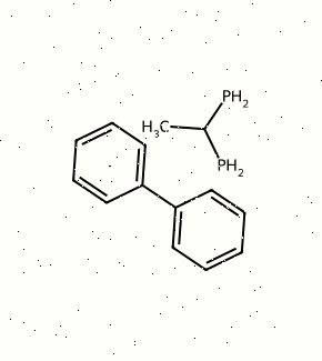 CC(P)P.c1ccc(-c2ccccc2)cc1